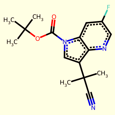 CC(C)(C)OC(=O)n1cc(C(C)(C)C#N)c2ncc(F)cc21